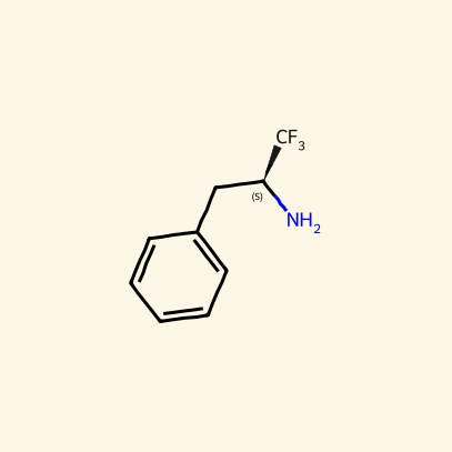 N[C@@H](Cc1ccccc1)C(F)(F)F